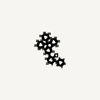 Clc1c(-c2ccccc2)cccc1-c1ccc2c(c1)-c1ccccc1C2(c1ccccc1)c1ccccc1